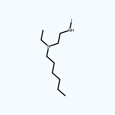 CCCCCCN(CC)CCNI